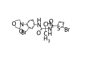 CC(C)(NC(=O)c1ccc(Br)s1)C(=O)Nc1ccc(N2CCOCC2=O)c(Br)c1